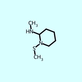 CNC1CCCCN1SC